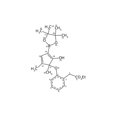 CCOC(=O)Cc1ccccc1OC1(C)C(C)=CC(B2OC(C)(C)C(C)(C)O2)=C1O